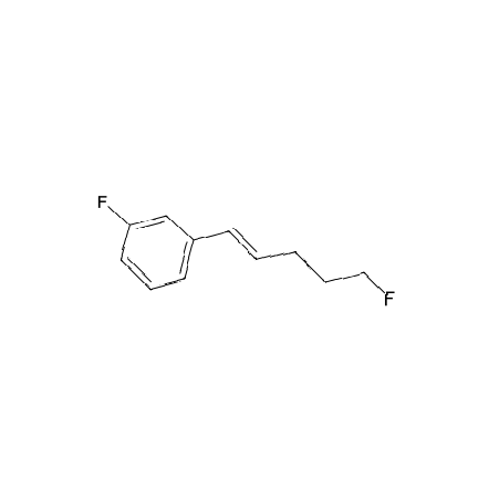 FCCC/C=C/c1cccc(F)c1